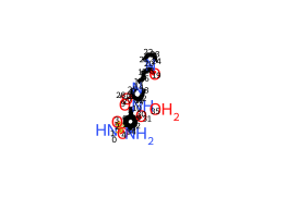 CNS(=O)(=O)c1cc(C(=O)N[C@@H]2CCN(CCCC(=O)N3CCCC3)C[C@@H]2OC)c(OC)cc1N.O